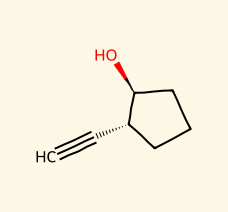 C#C[C@H]1CCC[C@@H]1O